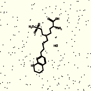 CS(=O)(=O)CCN(CCCCc1ccc2c(n1)NCCC2)CC[C@H](N)C(=O)O.Cl